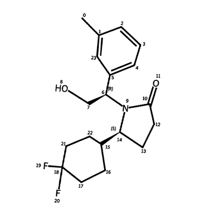 Cc1cccc([C@H](CO)N2C(=O)CC[C@H]2C2CCC(F)(F)CC2)c1